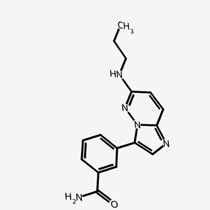 CCCNc1ccc2ncc(-c3cccc(C(N)=O)c3)n2n1